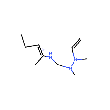 C=CN(C)N(C)CN/C(C)=C/CC